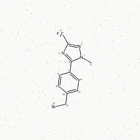 Cn1nc(C(F)(F)F)nc1-c1ccc(CBr)cc1